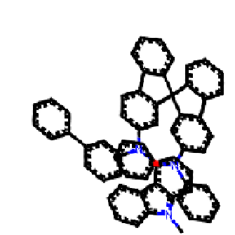 Cn1c2ccccc2c2c(N(c3cccc(-c4ccccc4)c3)c3ccc4c(c3)C3(c5ccccc5-c5ccc(N(c6ccccc6)c6ccccc6)cc53)c3ccccc3-4)cccc21